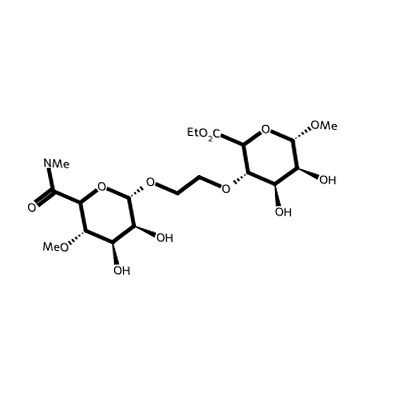 CCOC(=O)C1O[C@H](OC)[C@@H](O)[C@@H](O)[C@@H]1OCCO[C@H]1OC(C(=O)NC)[C@@H](OC)[C@H](O)[C@@H]1O